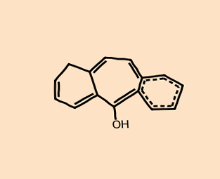 OC1=c2ccccc2=CC=C2CC=CC=C21